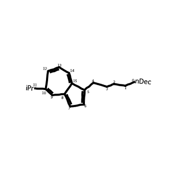 CCCCCCCCCCCCCCc1ccc2cc(C(C)C)cccc1-2